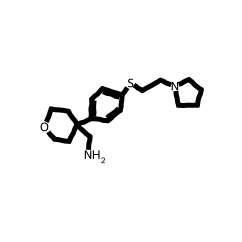 NCC1(c2ccc(SCCN3CCCC3)cc2)CCOCC1